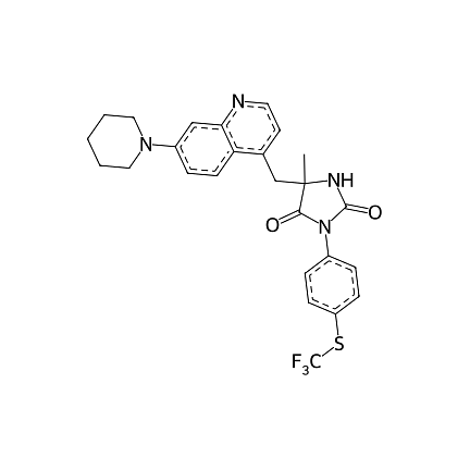 CC1(Cc2ccnc3cc(N4CCCCC4)ccc23)NC(=O)N(c2ccc(SC(F)(F)F)cc2)C1=O